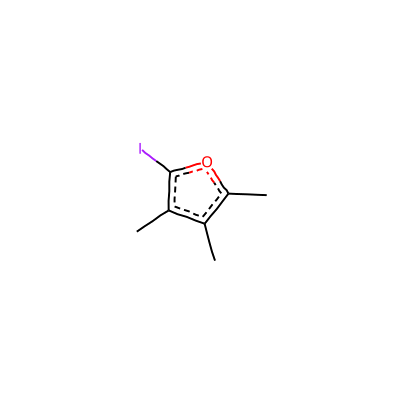 Cc1oc(I)c(C)c1C